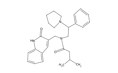 CC(C)CC(=O)N(Cc1cc2ccccc2[nH]c1=O)CC(c1ccccc1)N1CCCCC1